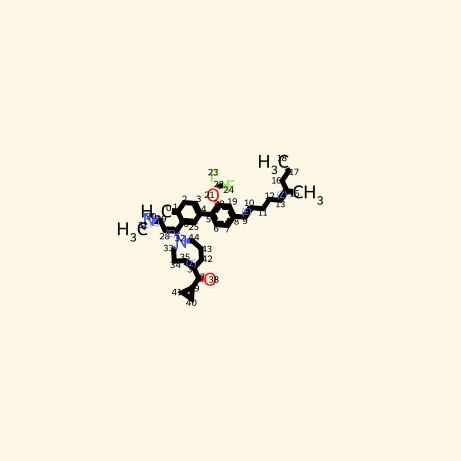 C=C1CC=C(c2ccc(/C=C/CC/C=C(/C)CCC)cc2OC(F)F)C=C1/C(=C\C=N/C)N1CC/C=C(\C(=O)C2CC2)CCC1